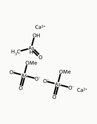 CO[As](=O)([O-])[O-].CO[As](=O)([O-])[O-].C[AsH](=O)O.[Ca+2].[Ca+2]